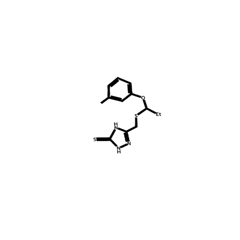 CCC(Oc1cccc(C)c1)SCc1n[nH]c(=S)[nH]1